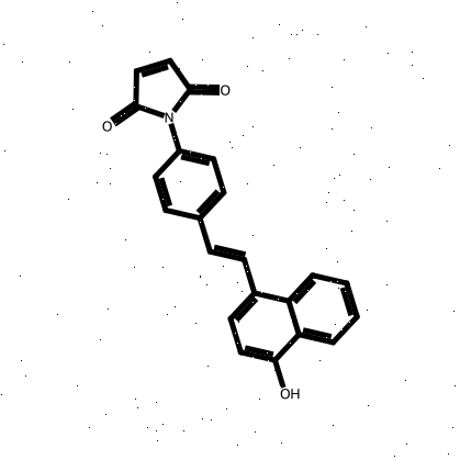 O=C1C=CC(=O)N1c1ccc(/C=C/c2ccc(O)c3ccccc23)cc1